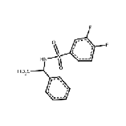 O=C(O)C(NS(=O)(=O)c1ccc(F)c(F)c1)c1ccccc1